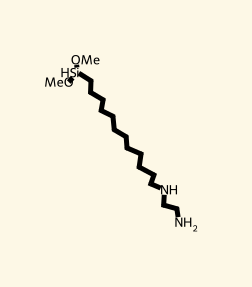 CO[SiH](CCCCCCCCCCCCNCCN)OC